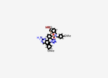 COc1ccc(CN(Cc2ccc(OC)cc2)S(=O)(=O)c2c(SCCO)ccc(-c3cccc4cnc(N)nc34)c2-c2nnnn2Cc2ccc(OC)cc2)cc1